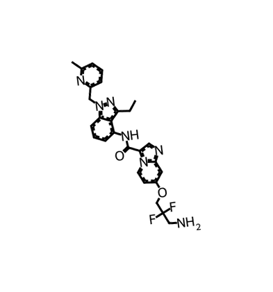 CCc1nn(Cc2cccc(C)n2)c2cccc(NC(=O)c3cnc4cc(OCC(F)(F)CN)ccn34)c12